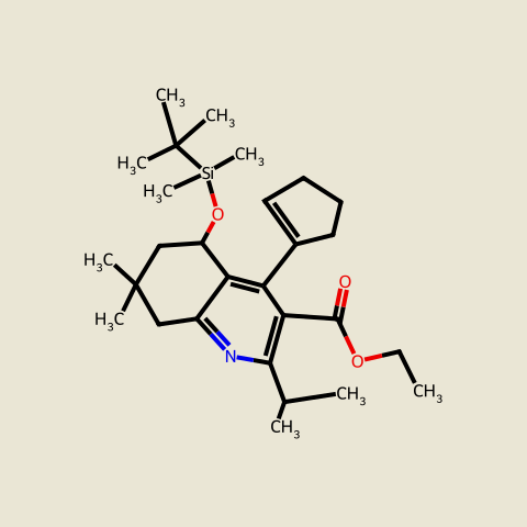 CCOC(=O)c1c(C(C)C)nc2c(c1C1=CCCC1)C(O[Si](C)(C)C(C)(C)C)CC(C)(C)C2